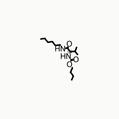 CCCCCCNC(=O)[C@@H](NC(=O)OCCCC)C(C)C